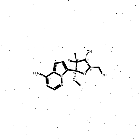 CO[C@@]1(c2ccc3c(N)ncnn23)O[C@H](CO)[C@@H](O)[C@@]1(C)F